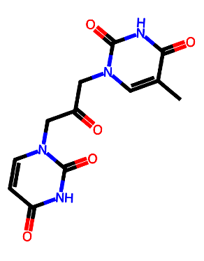 Cc1cn(CC(=O)Cn2ccc(=O)[nH]c2=O)c(=O)[nH]c1=O